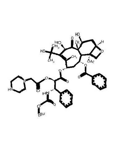 CC(=O)O[C@@]12CO[C@@H]1C[C@H](O)[C@@]1(C)C(=O)[C@H](O)/C(C(C)(C)O)=C(\C)[C@@H](OC(=O)[C@H](OC(=O)CN3CCNCC3)[C@@H](NC(=O)OC(C)(C)C)c3ccccc3)C[C@@H](OC(=O)c3ccccc3)C12